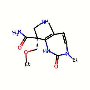 CCOC[C@]1(C(N)=O)CNCC2=C1NC(=O)N(CC)C=C2